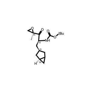 CC(C)(C)OC(=O)N[C@@H](C[C@H]1CC2C[C@H]2C1)C(=O)[C@@]1(C)CO1